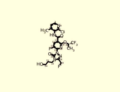 Cc1ccnc(Cl)c1NC(=O)c1cc(F)c(-n2nc(CF)n(CCCO)c2=O)nc1O[C@@H](C)C(F)(F)F